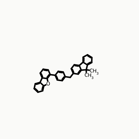 CC1(C)c2ccccc2-c2ccc(Cc3ccc(-c4cccc5c4oc4ccccc45)cc3)cc21